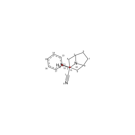 N#CC1(N)CC2CCC(C1)N2Cc1ccccc1